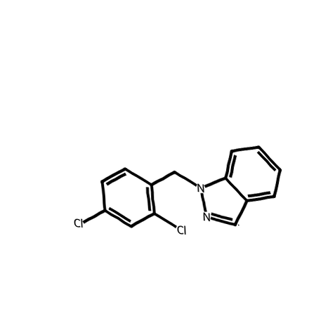 Clc1ccc(Cn2n[c]c3ccccc32)c(Cl)c1